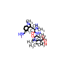 CNC(C(=O)N[C@H](C(=O)N(C)[C@H](/C=C(\C)C(=O)O)C(C)C)C(C)(C)C)C(C)(C)c1cn(C)c2ccc(CNI)cc12